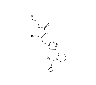 C=CCOC(=O)NC(Cc1cc(C2CCCN2C(=O)C2CC2)no1)C(=O)OCC